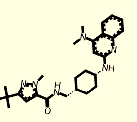 CN(C)c1cc(N[C@H]2CC[C@@H](CNC(=O)c3cc(C(C)(C)C)nn3C)CC2)nc2ccccc12